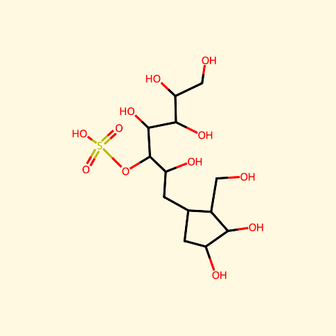 O=S(=O)(O)OC(C(O)CC1CC(O)C(O)C1CO)C(O)C(O)C(O)CO